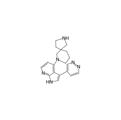 c1cc(-c2c[nH]c3nccc(N4CCCC5(CCNC5)C4)c23)cnn1